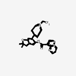 CC1(C)Cc2cc(NC(=O)c3cnn4cccnc34)c(C3CCN(CC(F)(F)F)CC3)cc2O1